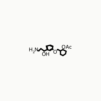 CC(=O)O[C@@H]1CCCCC1COc1cccc([C@H](O)CCN)c1